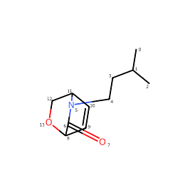 CC(C)CCN1C(=O)C2C=CC1CO2